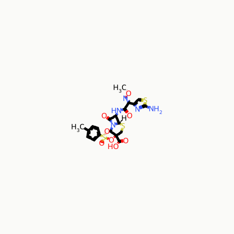 CON=C(C(=O)NC1C(=O)N2CC(OS(=O)(=O)c3ccc(C)cc3)(C(=O)O)CS[C@H]12)c1csc(N)n1